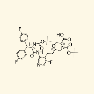 CC(C)(C)OC(=O)N[C@H](C(=O)Nc1cncc(F)c1CC[C@@H]1CN(C(=O)OC(C)(C)C)[C@H](C(=O)O)CO1)C(c1ccc(F)cc1)c1ccc(F)cc1